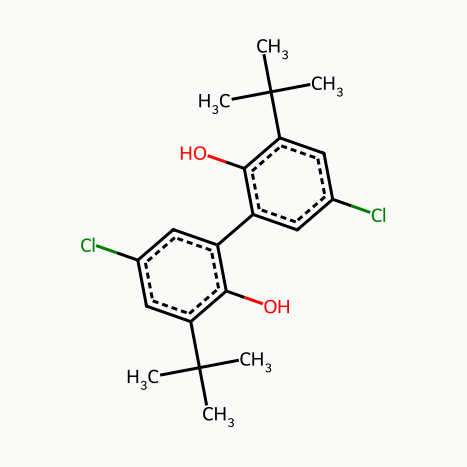 CC(C)(C)c1cc(Cl)cc(-c2cc(Cl)cc(C(C)(C)C)c2O)c1O